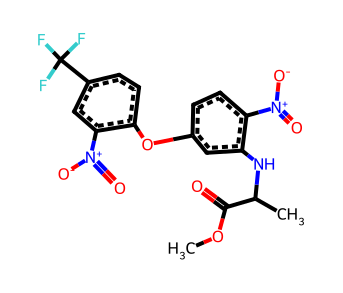 COC(=O)C(C)Nc1cc(Oc2ccc(C(F)(F)F)cc2[N+](=O)[O-])ccc1[N+](=O)[O-]